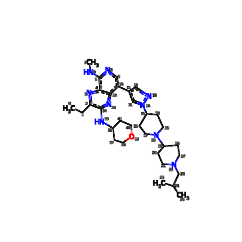 CCc1nc2c(NC)ncc(-c3cnn(C4CCN(C5CCN(CC(C)C)CC5)CC4)c3)c2nc1NC1CCOCC1